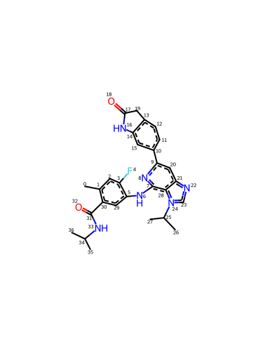 Cc1cc(F)c(Nc2nc(-c3ccc4c(c3)NC(=O)C4)cc3ncn(C(C)C)c23)cc1C(=O)NC(C)C